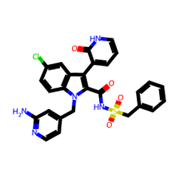 Nc1cc(Cn2c(C(=O)NS(=O)(=O)Cc3ccccc3)c(-c3ccc[nH]c3=O)c3cc(Cl)ccc32)ccn1